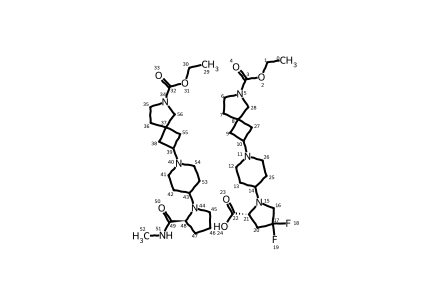 CCOC(=O)N1CCC2(CC(N3CCC(N4CC(F)(F)C[C@@H]4C(=O)O)CC3)C2)C1.CCOC(=O)N1CCC2(CC(N3CCC(N4CCC[C@H]4C(=O)NC)CC3)C2)C1